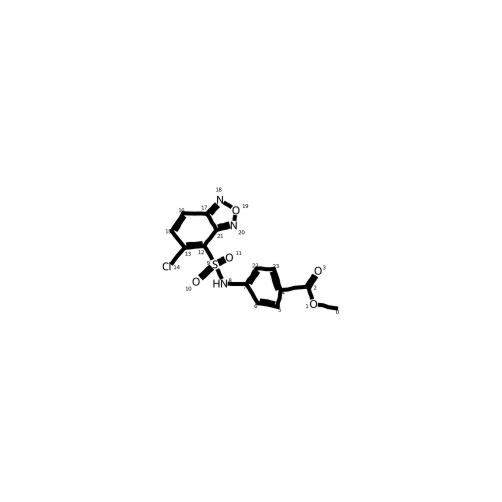 COC(=O)c1ccc(NS(=O)(=O)c2c(Cl)ccc3nonc23)cc1